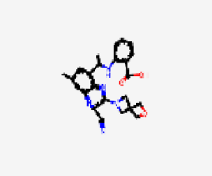 Cc1cc(C(C)Nc2ccccc2C(=O)O)c2nc(N3CC4(COC4)C3)c(C#N)nc2c1